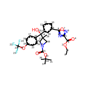 CCOC(=O)c1noc(-c2cccc([C@@](O)(c3ccc(OC(F)(F)F)cc3)C3(C)CN(C(=O)OC(C)(C)C)C3)c2)n1